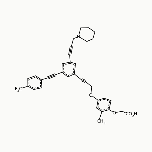 Cc1cc(OCC#Cc2cc(C#CCN3CCCCC3)cc(C#Cc3ccc(C(F)(F)F)cc3)c2)ccc1OCC(=O)O